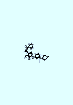 CN1CCC(Nc2cccc(Sc3ccc(C4CC4C(=O)N4CCOCC4)c(CF)c3C(F)(F)F)c2)CC1